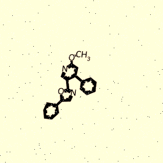 COc1cc(-c2ccccc2)c(-c2ncc(-c3ccccc3)o2)cn1